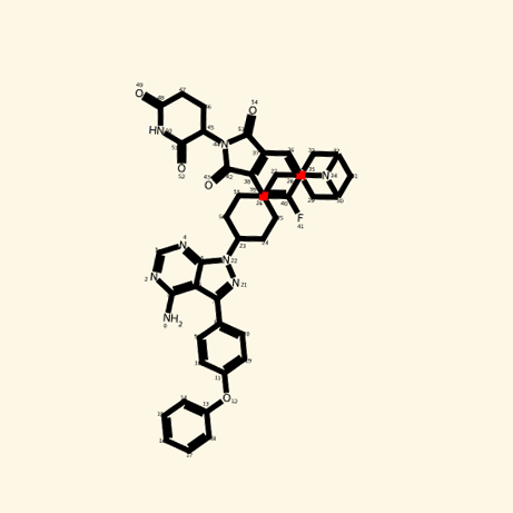 Nc1ncnc2c1c(-c1ccc(Oc3ccccc3)cc1)nn2C1CCC(CN2CC3CC(C2)N3c2cc3c(cc2F)C(=O)N(C2CCC(=O)NC2=O)C3=O)CC1